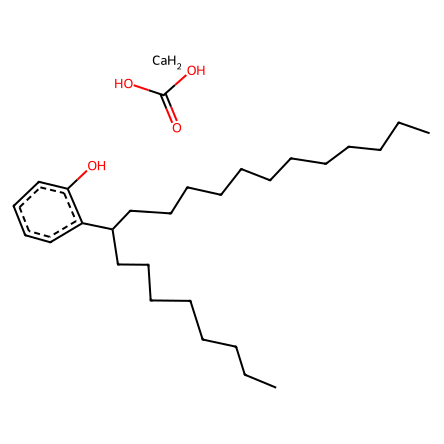 CCCCCCCCCCCCC(CCCCCCCC)c1ccccc1O.O=C(O)O.[CaH2]